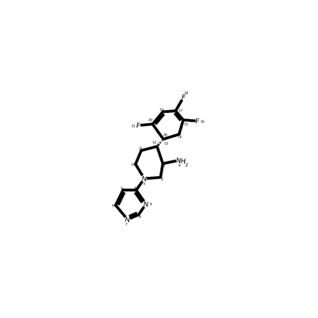 NC1CN(c2ccncn2)CCC1[C@H]1CC(F)=C(F)C=C1F